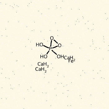 OP1(O)(O)OO1.[CaH2].[CaH2].[CaH2].[Fe]